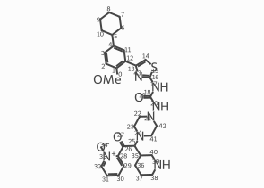 COc1ccc(C2CCCCC2)cc1-c1csc(NC(=O)NN2CCN(C(C(=O)c3cccc[n+]3[O-])C3CCCNC3)CC2)n1